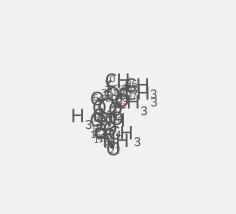 CCCC[C@H]1C(=O)O[C@H](C)[C@H](NC(=O)c2cccc(NC=O)c2OC)C(=O)O[C@@H](C)[C@@H]1OC(=O)CC(C)C